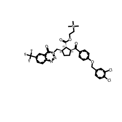 C[Si](C)(C)CCOC(=O)[C@H]1[C@H](Cn2nnc3ccc(C(F)(F)F)cc3c2=O)CC[C@@H]1C(=O)c1ccc(OCc2ccc(Cl)c(Cl)c2)cc1